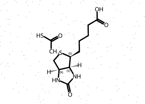 CC(=O)S.O=C(O)CCCC[C@@H]1SC[C@@H]2NC(=O)N[C@@H]21